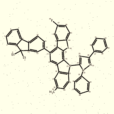 CCC1(CC)c2ccccc2-c2ccc(-c3cc4c5cc(C)ccc5n(-c5nc(-c6ccccc6)nn5-c5ccccc5)c4c4sc5ccc(F)cc5c34)cc21